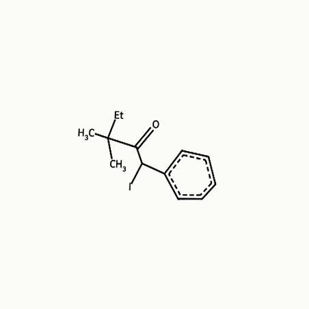 CCC(C)(C)C(=O)C(I)c1ccccc1